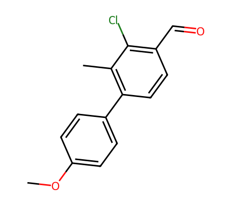 COc1ccc(-c2ccc(C=O)c(Cl)c2C)cc1